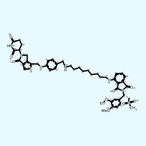 CCOc1cc([C@@H](CS(C)(=O)=O)N2C(=O)c3cccc(OCCCCCCCCCNCc4ccc(OCc5scc6c5CN(C5CCC(=O)NC5=O)C6=O)cc4)c3C2=O)ccc1OC